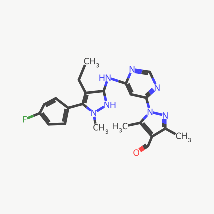 CCC1=C(c2ccc(F)cc2)N(C)NC1Nc1cc(-n2nc(C)c(C=O)c2C)ncn1